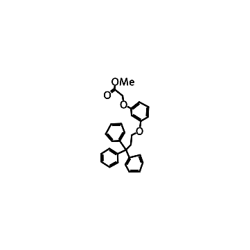 COC(=O)COc1cccc(OCCC(c2ccccc2)(c2ccccc2)c2ccccc2)c1